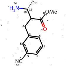 COC(=O)C(Cc1cccc(C#N)c1)[C@@H](C)N